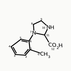 Cc1ccccc1N1CCNC1C(=O)O